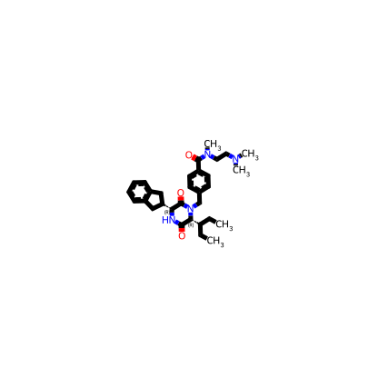 CCC(CC)[C@@H]1C(=O)N[C@H](C2Cc3ccccc3C2)C(=O)N1Cc1ccc(C(=O)N(C)CCN(C)C)cc1